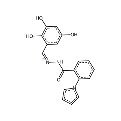 O=C(N/N=C\c1cc(O)cc(O)c1O)c1ccccc1-n1cccc1